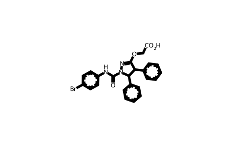 O=C(O)COC1=NN(C(=O)Nc2ccc(Br)cc2)C(c2ccccc2)C1c1ccccc1